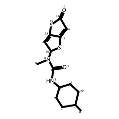 CC1CCC(NC(=O)N(C)C2C=C3SC(=O)C=C3S2)CC1